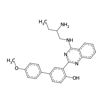 CCC(N)CNc1nc(-c2cc(-c3ccc(OC)cc3)ccc2O)nc2ccccc12